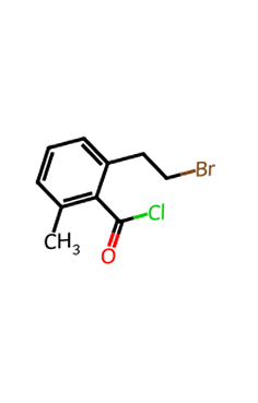 Cc1cccc(CCBr)c1C(=O)Cl